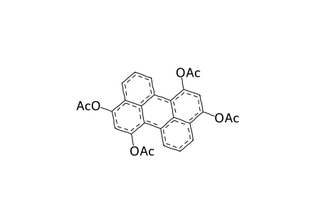 CC(=O)Oc1cc(OC(C)=O)c2c3cccc4c(OC(C)=O)cc(OC(C)=O)c(c5cccc1c52)c43